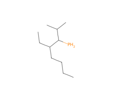 CCCCC(CC)C(P)C(C)C